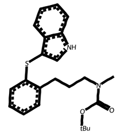 CN(CCCc1ccccc1Sc1c[nH]c2ccccc12)C(=O)OC(C)(C)C